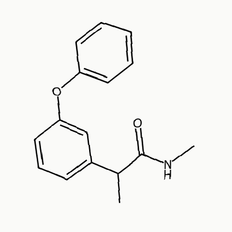 CNC(=O)C(C)c1cccc(Oc2ccccc2)c1